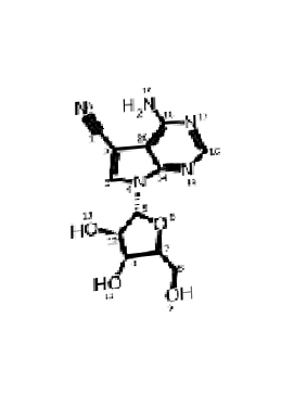 N#Cc1cn([C@@H]2OC(CO)[C@@H](O)[C@H]2O)c2ncnc(N)c12